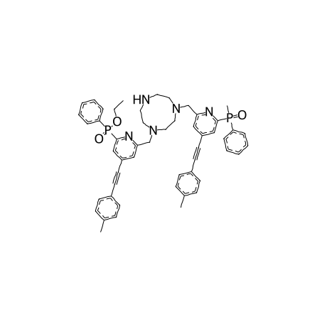 CCOP(=O)(c1ccccc1)c1cc(C#Cc2ccc(C)cc2)cc(CN2CCNCCN(Cc3cc(C#Cc4ccc(C)cc4)cc(P(C)(=O)c4ccccc4)n3)CC2)n1